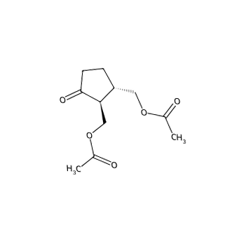 CC(=O)OC[C@H]1CCC(=O)[C@@H]1COC(C)=O